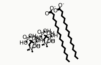 CCCCCCCCCCCCCCCC(=O)[O-].CCCCCCCCCCCCCCCC(=O)[O-].C[N+](C)(C)CC(O)(P(=O)(O)O)P(=O)(O)O.C[N+](C)(C)CC(O)(P(=O)(O)O)P(=O)(O)O